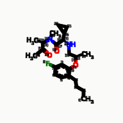 CCCCc1ccc(F)cc1O[C@H](C)CN[C@H](C(=O)N(C)[C@H](C)C(C)=O)C1CC1